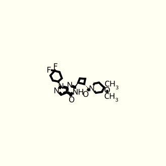 COC1(C)CCN(C(=O)[C@H]2CC[C@@H]2c2nc3c(cnn3C3CCC(F)(F)CC3)c(=O)[nH]2)CC1